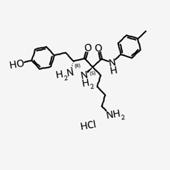 Cc1ccc(NC(=O)[C@](N)(CCCCN)C(=O)[C@H](N)Cc2ccc(O)cc2)cc1.Cl